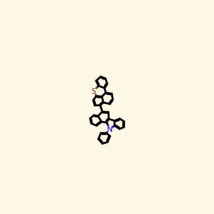 c1ccc(-n2c3ccccc3c3cc(-c4ccc5c6c(cccc46)-c4ccccc4S5)c4ccccc4c32)cc1